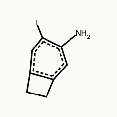 Nc1cc2c(cc1I)CC2